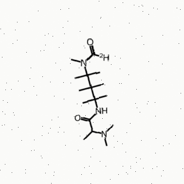 [2H]C(=O)N(C)C(C)(C)C(C)(C)C(C)(C)NC(=O)C(C)N(C)C